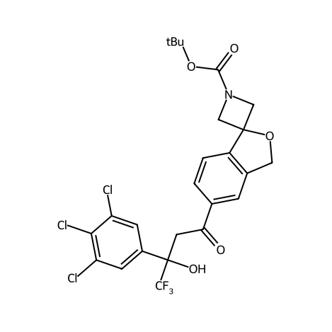 CC(C)(C)OC(=O)N1CC2(C1)OCc1cc(C(=O)CC(O)(c3cc(Cl)c(Cl)c(Cl)c3)C(F)(F)F)ccc12